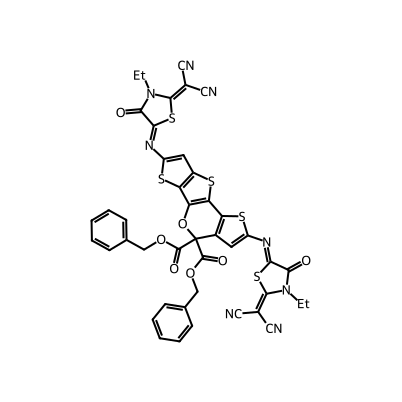 CCN1C(=O)/C(=N/c2cc3c(s2)-c2sc4cc(/N=C5\SC(=C(C#N)C#N)N(CC)C5=O)sc4c2OC3(C(=O)OCc2ccccc2)C(=O)OCc2ccccc2)SC1=C(C#N)C#N